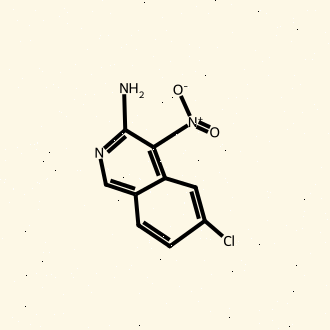 Nc1ncc2ccc(Cl)cc2c1[N+](=O)[O-]